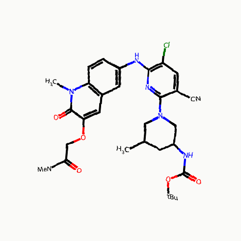 CNC(=O)COc1cc2cc(Nc3nc(N4CC(C)CC(NC(=O)OC(C)(C)C)C4)c(C#N)cc3Cl)ccc2n(C)c1=O